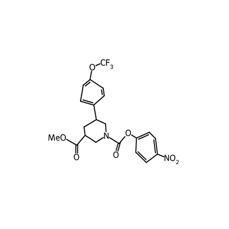 COC(=O)C1CC(c2ccc(OC(F)(F)F)cc2)CN(C(=O)Oc2ccc([N+](=O)[O-])cc2)C1